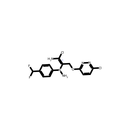 N/C(Cl)=C(/COc1ccc(Cl)nn1)N(N)c1ccc(C(F)F)cc1